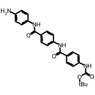 CC(C)(C)OC(=O)Nc1ccc(C(=O)Nc2ccc(C(=O)Nc3ccc(N)cc3)cc2)cc1